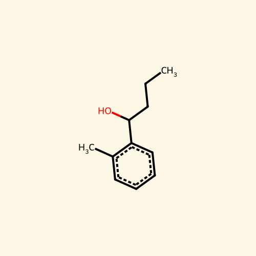 CCCC(O)c1ccccc1C